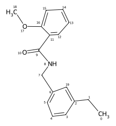 CCc1cccc(CNC(=O)c2ccccc2OC)c1